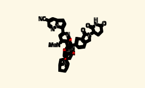 CNc1cc(-c2ccc3cc(C#N)cnn23)ncc1-c1nnc(N2CC3CCC(C2)N3C2CCN(C(=O)c3ccc4c(c3)C(=O)N(C3CCC(=O)NC3=O)C4)CC2)s1